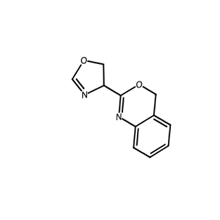 C1=NC(C2=Nc3ccccc3CO2)CO1